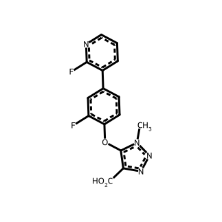 Cn1nnc(C(=O)O)c1Oc1ccc(-c2cccnc2F)cc1F